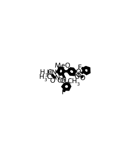 COc1cc(OS(=O)(=O)c2ccccc2F)ccc1-c1ccc2c(c1COc1cc(F)ccc1C)N(C)C(=O)C(C)(C)N2